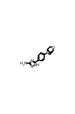 Nc1n[nH]c(-c2ccc(N3CC4CC3CO4)cc2)n1